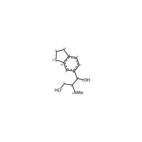 CNC(CO)C(O)c1ccc2c(c1)SCC2